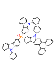 O=P(c1ccc2c(c1)c1ccccc1n2-c1ccccc1)(c1ccc2c(c1)c1ccccc1n2-c1ccccc1)c1ccc2c3cc4c5ccccc5c5ccccc5c4cc3n(-c3ccccc3)c2c1